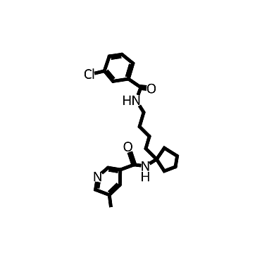 Cc1cncc(C(=O)NC2(CCCCNC(=O)c3cccc(Cl)c3)CCCC2)c1